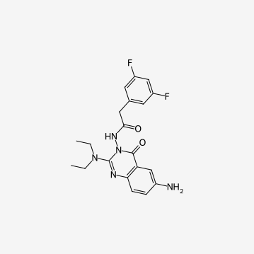 CCN(CC)c1nc2ccc(N)cc2c(=O)n1NC(=O)Cc1cc(F)cc(F)c1